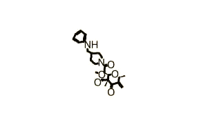 C=C1C(=O)[C@](C)(C(=O)OC)[C@@H](CC(=O)N2CCC(CNc3ccccc3)CC2)O[C@H]1C